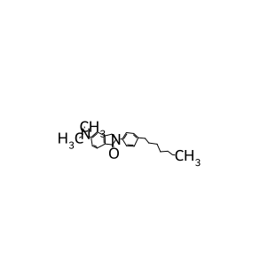 CCCCCCCc1ccc(N2Cc3cc(N(C)C)ccc3C2=O)cc1